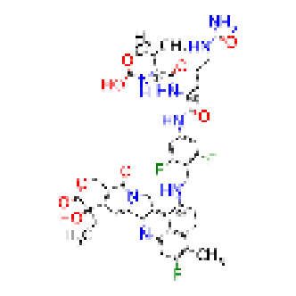 CC[C@@]1(O)C(=O)OCc2c1cc1n(c2=O)Cc2c-1nc1cc(F)c(C)c3c1c2[C@@H](NCc1c(F)cc(NC(=O)[C@H](CCCNC(N)=O)NC(=O)[C@@H](NC(=O)O)C(C)C)cc1F)CC3